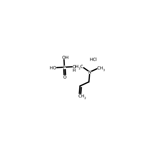 C=CCN(C)C.Cl.O=P(O)(O)O